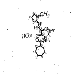 CC(C)C[C@H](NC(=O)C1CCCCCC1)C(=O)C(=O)NN=C1SCCN1C.Cl